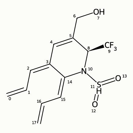 C=C/C=C1/C=C(CO)[C@@H](C(F)(F)F)N([SH](=O)=O)/C1=C/C=C